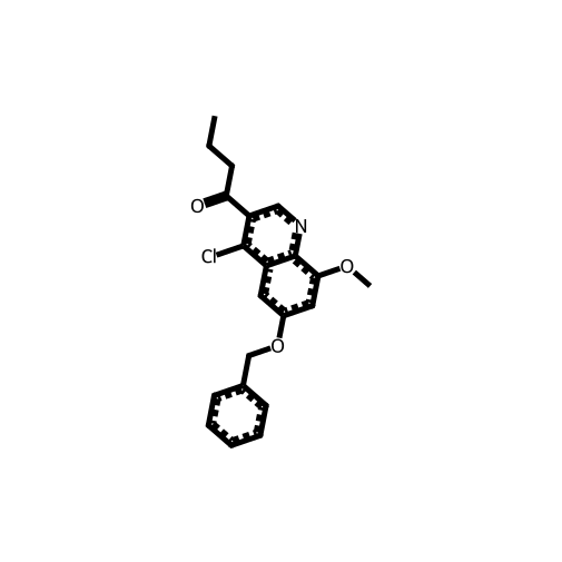 CCCC(=O)c1cnc2c(OC)cc(OCc3ccccc3)cc2c1Cl